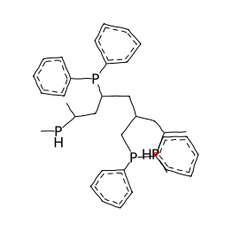 CPC(C)CC(CC(CC(C)PC)P(c1ccccc1)c1ccccc1)CP(c1ccccc1)c1ccccc1